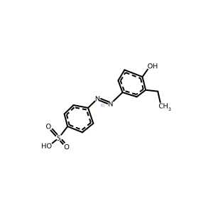 CCc1cc(/N=N/c2ccc(S(=O)(=O)O)cc2)ccc1O